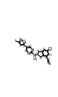 Cc1cc(-c2cnc(N[C@H]3Cc4cc(Cl)cc(C#N)c4C3)nc2)on1